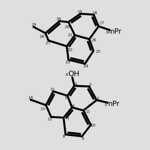 CCCc1cc(O)c2c3c(cccc13)CC(C)=C2.CCCc1ccc2c3c(cccc13)CC(C)=C2